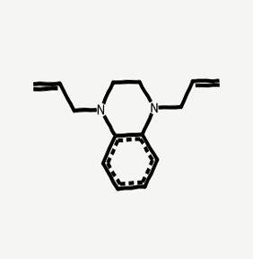 C=CCN1CCN(CC=C)c2ccccc21